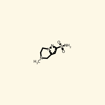 CN1CCn2nc(S(N)(=O)=O)cc2C1